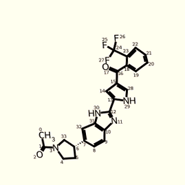 CC(=O)N1CC[C@@H](c2ccc3nc(-c4cc(C(=O)c5ccccc5C(F)(F)F)c[nH]4)[nH]c3c2)C1